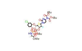 COC(=O)[C@H](C)NP(=O)(O)OOc1ccc(Cl)cc1OC[C@H]1S[C@@H](n2ccc(N(C(=O)OC(C)(C)C)C(=O)OC(C)(C)C)nc2=O)[C@@H](F)[C@@H]1OC(=O)OC(C)(C)C